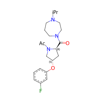 CC(=O)N1C[C@@H](Oc2cccc(F)c2)C[C@@H]1C(=O)N1CCCN(C(C)C)CC1